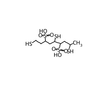 CC(S)CC(C(S)CC(CCS)S(=O)(=O)O)S(=O)(=O)O